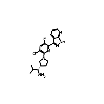 CC(C)C(N)[C@H]1CCN(c2nc(-c3n[nH]c4ncccc34)c(F)cc2Cl)C1